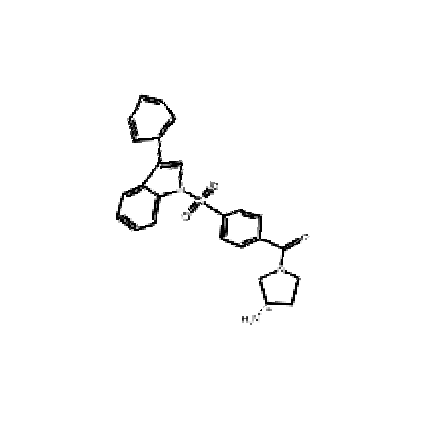 N[C@H]1CCN(C(=O)c2ccc(S(=O)(=O)n3cc(-c4ccccc4)c4ccccc43)cc2)C1